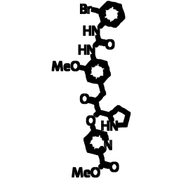 COC(=O)c1ccc(OC(C(=O)Cc2ccc(NC(=O)Nc3ccccc3Br)c(OC)c2)C2CCCN2)cn1